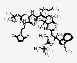 C/C(=C\[C@H](C(C)C)N(C)C(=O)C(NC(=O)[C@@H](N(C)C(=O)OC(C)(C)C)C(C)(C)c1cn(C)c2ccccc12)C(C)(C)C)C(=O)N[C@@H](CC(=O)OC(C)(C)C)C(=O)NCCN1C(=O)C=CC1=O